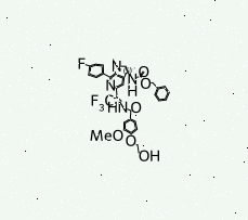 COc1cc(C(=O)NCC(c2cc3c(c(-c4ccc(F)cc4)n2)N(C)C[C@@]3(C)NC(=O)OCc2ccccc2)C(F)(F)F)ccc1OCCO